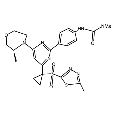 CNC(=O)Nc1ccc(-c2nc(N3CCOC[C@@H]3C)cc(C3(S(=O)(=O)c4nnc(C)s4)CC3)n2)cc1